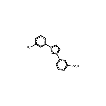 Nc1cccc(-c2ccn(-c3cccc(C(=O)O)c3)n2)c1